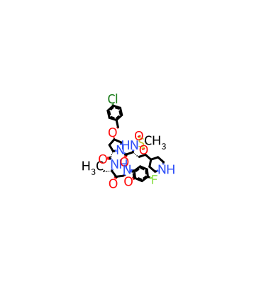 CC[C@H](NC(=O)[C@@H]1C[C@@H](OCc2ccc(Cl)cc2)CN1C(=O)[C@@H](CCC1CCNCC1)NS(C)(=O)=O)C(=O)c1nc2ccc(F)cc2o1